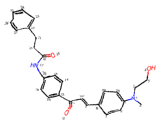 CN(CCO)c1ccc(/C=C/C(=O)c2ccc(NC(=O)CCc3ccccc3)cc2)cc1